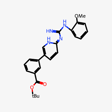 COc1ccccc1NC(=N)/N=c1/ccc(-c2cccc(C(=O)OC(C)(C)C)c2)c[nH]1